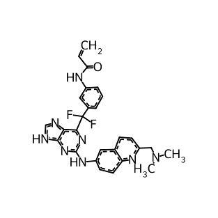 C=CC(=O)Nc1cccc(C(F)(F)c2nc(Nc3ccc4nc(CN(C)C)ccc4c3)nc3[nH]cnc23)c1